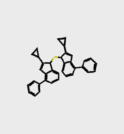 C1=C(C2CC2)C(SC2C(C3CC3)=Cc3c(-c4ccccc4)cccc32)c2cccc(-c3ccccc3)c21